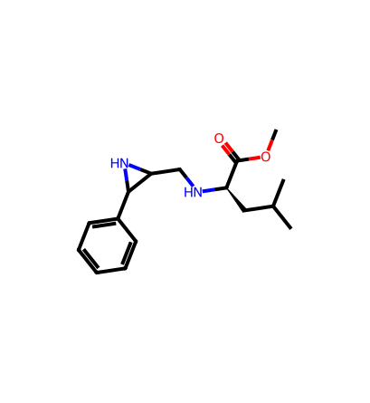 COC(=O)[C@@H](CC(C)C)NCC1NC1c1ccccc1